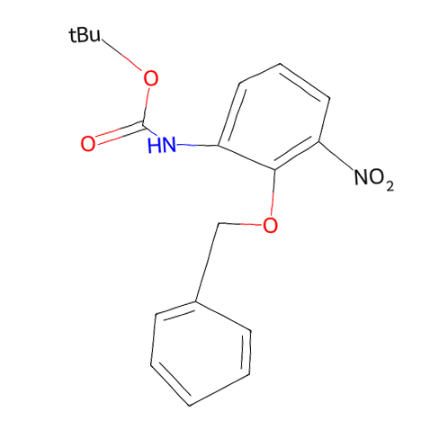 CC(C)(C)OC(=O)Nc1cccc([N+](=O)[O-])c1OCc1ccccc1